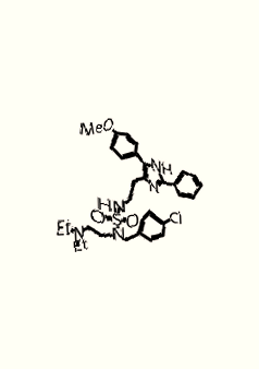 CCN(CC)CCN(Cc1ccc(Cl)cc1)S(=O)(=O)NCCc1nc(-c2ccccc2)[nH]c1-c1ccc(OC)cc1